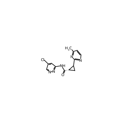 Cc1ccnc(C2C[C@@H]2C(=O)Nc2cc(Cl)cnn2)n1